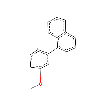 COc1cc[c]c(-c2cccc3ccccc23)c1